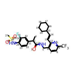 CC(C(=O)NCc1ccc(C(F)(F)F)nc1C=CC1CCCCC1)c1ccc(NS(C)(=O)=O)c(F)c1